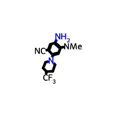 CNc1cc(N2CCC(C(F)(F)F)CC2)c(C#N)cc1N